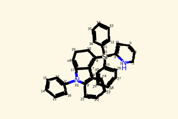 C1=CCNC([Si](C2=c3c4c(n(-c5ccccc5)c3=CCC2)C=CCC4)(c2ccccc2)c2ccccc2)=C1